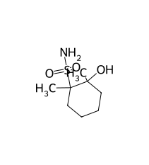 CC1(O)CCCCC1(C)S(N)(=O)=O